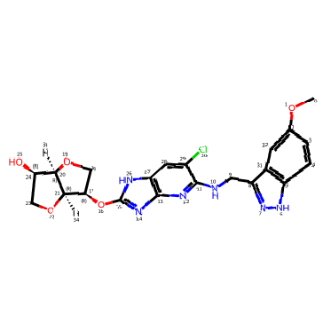 COc1ccc2[nH]nc(CNc3nc4nc(O[C@@H]5CO[C@H]6[C@@H]5OC[C@H]6O)[nH]c4cc3Cl)c2c1